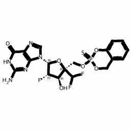 Nc1nc2c(ncn2[C@@H]2O[C@@](COP3(=S)OCc4ccccc4O3)(C(F)F)[C@@H](O)[C@@H]2F)c(=O)[nH]1